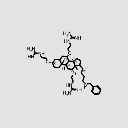 C[C@H](CCCN(C)Cc1ccccc1)C1CC[C@H]2C3[C@H](OCCNC(=N)N)CC4C[C@H](OCCNC(=N)N)CCC4(C)[C@H]3C[C@H](OCCNC(=N)N)C12C